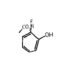 CC(=O)O.Oc1ccccc1F